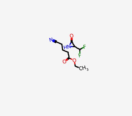 CCOC(=O)CCCC#N.O=C1NC1C(F)F